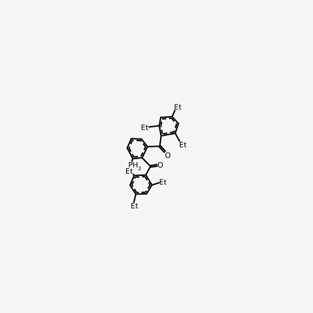 CCc1cc(CC)c(C(=O)c2cccc(P)c2C(=O)c2c(CC)cc(CC)cc2CC)c(CC)c1